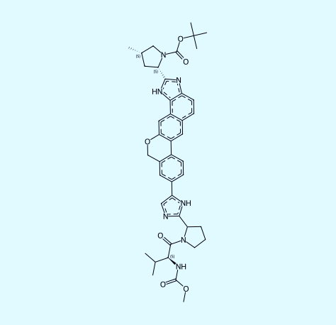 COC(=O)N[C@H](C(=O)N1CCCC1c1ncc(-c2ccc3c(c2)COc2cc4c(ccc5nc([C@@H]6C[C@H](C)CN6C(=O)OC(C)(C)C)[nH]c54)cc2-3)[nH]1)C(C)C